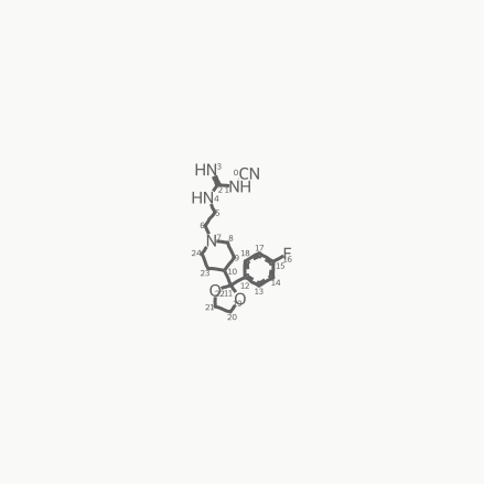 N#CNC(=N)NCCN1CCC(C2(c3ccc(F)cc3)OCCO2)CC1